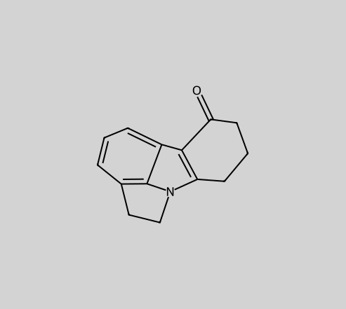 O=C1CCCc2c1c1cccc3c1n2CC3